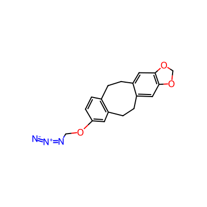 [N-]=[N+]=NCOc1ccc2c(c1)CCc1cc3c(cc1CC2)OCO3